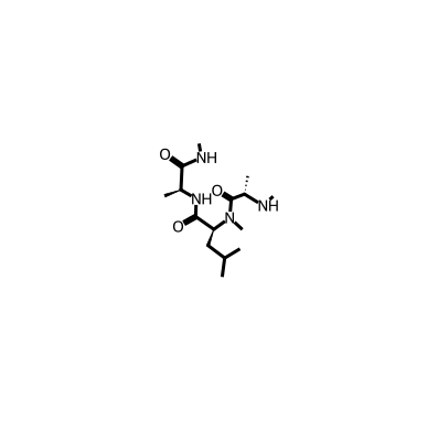 CNC(=O)[C@H](C)NC(=O)[C@H](CC(C)C)N(C)C(=O)[C@H](C)NC